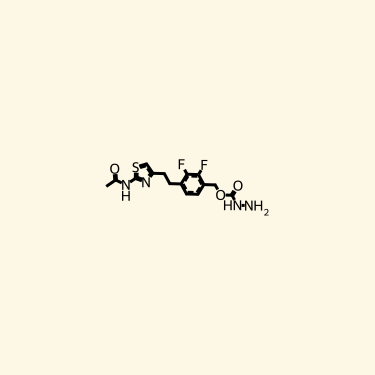 CC(=O)Nc1nc(CCc2ccc(COC(=O)NN)c(F)c2F)cs1